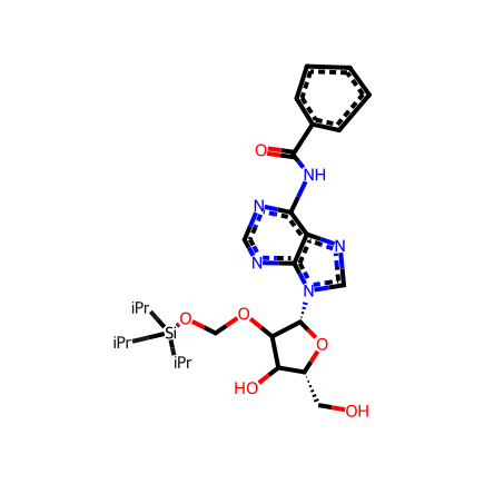 CC(C)[Si](OCOC1C(O)[C@@H](CO)O[C@H]1n1cnc2c(NC(=O)c3ccccc3)ncnc21)(C(C)C)C(C)C